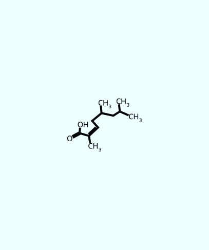 CC(=CCC(C)CC(C)C)C(=O)O